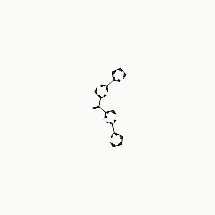 O=C(c1csc(-c2cccs2)n1)c1csc(-c2cccs2)n1